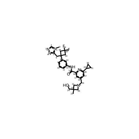 Cn1cnnc1CC1(c2cccc(NC(=O)c3cc(CN4CC(C)(CO)C4)cc(C4CC4)n3)c2)CC(F)(F)C1